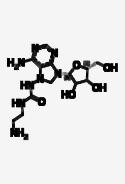 NCCNC(=O)NN1CN([C@@H]2O[C@H](CO)C(O)C2O)c2ncnc(N)c21